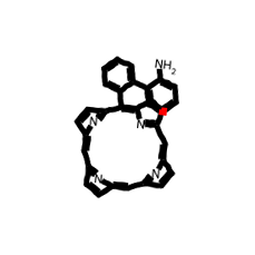 Nc1ccccc1-c1ccccc1C1=C2C=CC(=N2)C=C2C=CC(=N2)C=C2C=CC(=N2)C=C2C=CC1=N2